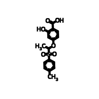 Cc1ccc(S(=O)(=O)C(C)Oc2ccc(C(=O)O)c(O)c2)cc1